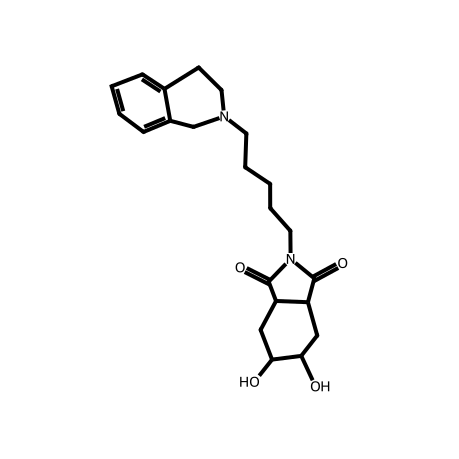 O=C1C2CC(O)C(O)CC2C(=O)N1CCCCCN1CCc2ccccc2C1